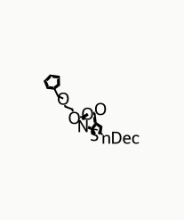 CCCCCCCCCCc1cc2c(=O)oc(OCCOCc3ccccc3)nc2s1